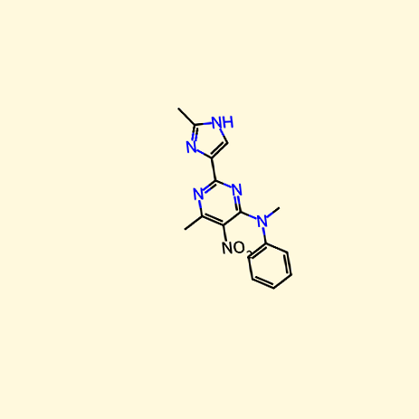 Cc1nc(-c2nc(C)c([N+](=O)[O-])c(N(C)c3ccccc3)n2)c[nH]1